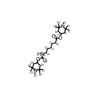 CN1C(C)(C)CC(OC(=O)CCCCCNC(=O)OC2CC(C)(C)N(C)C(C)(C)C2)CC1(C)C